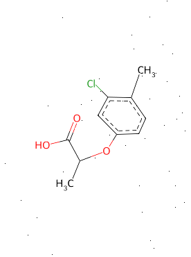 Cc1ccc(OC(C)C(=O)O)cc1Cl